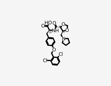 O=C(O)[C@H](Cc1ccc(OCc2c(Cl)cccc2Cl)cc1)NC(=O)[C@@H]1OCO[C@H]1CN1CCCC1